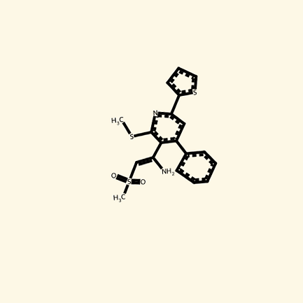 CSc1nc(-c2cccs2)cc(-c2ccccc2)c1/C(N)=C/S(C)(=O)=O